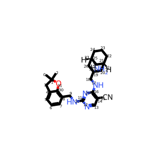 CC1(C)Cc2cccc(CNc3ncc(C#N)c(NCC4C[C@H]5CCC[C@@H](C4)[C@@H]5N)n3)c2O1